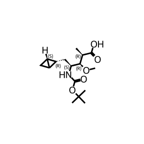 CO[C@@H]([C@H](C[C@@H]1C2C[C@@H]21)NC(=O)OC(C)(C)C)[C@@H](C)C(=O)O